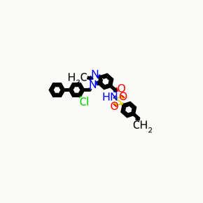 C=Cc1ccc(S(=O)(=O)NC(=O)c2ccc3nc(C)n(Cc4ccc(-c5ccccc5)cc4Cl)c3c2)cc1